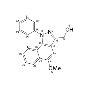 COc1cc2c(CO)nn(-c3ccccc3)c2c2ccccc12